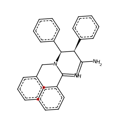 N=C(c1ccccc1)N(Cc1ccccc1)[C@@H](c1ccccc1)[C@H](C(N)=O)c1ccccc1